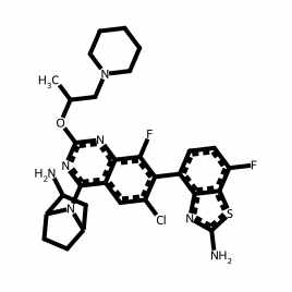 CC(CN1CCCCC1)Oc1nc(N2C3CCC2C(N)C3)c2cc(Cl)c(-c3ccc(F)c4sc(N)nc34)c(F)c2n1